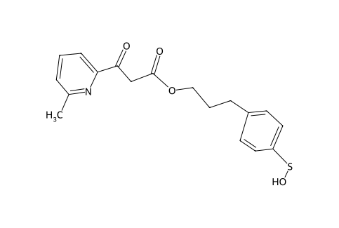 Cc1cccc(C(=O)CC(=O)OCCCc2ccc(SO)cc2)n1